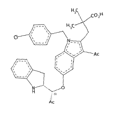 CC(=O)c1c(CC(C)(C)C(=O)O)n(Cc2ccc(Cl)cc2)c2ccc(O[C@H](C(C)=O)C3Cc4ccccc4N3)cc12